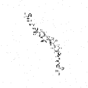 C=CC(=O)OCCCCOC(=O)c1ccc2cc(-c3ccc(-c4ccc(OCCCCOC(=O)C=C)cc4)s3)ccc2c1